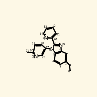 CCc1ccc2c(c1)nc(-c1ccccn1)n2-c1ccc(C)nc1